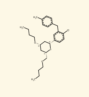 CCCCOC[C@@H]1C[C@H](OCCCC)C[C@H](c2ccc(Cl)c(Cc3ccc(C)cc3)c2)S1